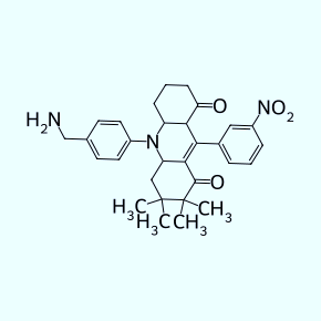 CC1(C)CC2C(=C(c3cccc([N+](=O)[O-])c3)C3C(=O)CCCC3N2c2ccc(CN)cc2)C(=O)C1(C)C